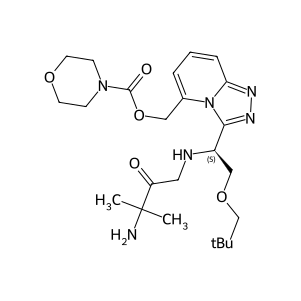 CC(C)(C)COC[C@@H](NCC(=O)C(C)(C)N)c1nnc2cccc(COC(=O)N3CCOCC3)n12